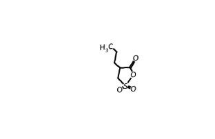 CCCC1CS(=O)(=O)OC1=O